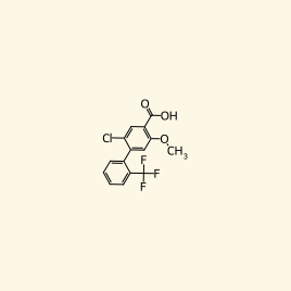 COc1cc(-c2ccccc2C(F)(F)F)c(Cl)cc1C(=O)O